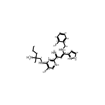 CCCC(C)(N)CNc1nc(C(=N)/C=C(\NCc2ccccc2F)c2ccon2)ncc1F